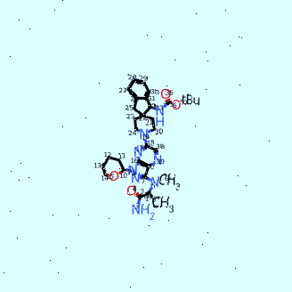 C[C@@H](C(N)=O)N(C)c1nn(C2CCCCO2)c2nc(N3CCC4(CC3)Cc3ccccc3[C@H]4NC(=O)OC(C)(C)C)cnc12